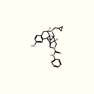 O=C(Nc1ccccc1)N1C[C@H]2C[C@@]34CCC1C2[C@@]31CCN(CC2CC2)[C@@H]4Cc2ccc(O)cc21